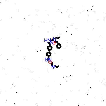 C=N/C(=N\OCCN(C)CCC)c1ccc(-c2ccc(-c3c[nH]c(CN(CCC)C(=O)Cc4ccccc4)n3)cc2)cc1